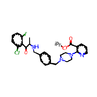 CC(C)OC(=O)c1cccnc1N1CCN(Cc2ccc(CNC(C)C(=O)c3c(F)cccc3Cl)cc2)CC1